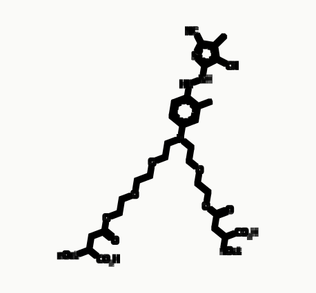 CCCCCCCCC(CC(=O)OCCOCCOCCN(CCOCCOC(=O)CC(CCCCCCCC)C(=O)O)c1ccc(NNc2sc(C#N)c(C)c2C#N)c(C)c1)C(=O)O